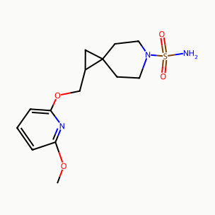 COc1cccc(OCC2CC23CCN(S(N)(=O)=O)CC3)n1